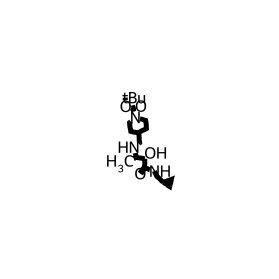 CC(NCC1CCN(C(=O)OC(C)(C)C)CC1)C(O)C(=O)NCC1CC1